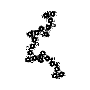 O=C(c1ccc(C(=O)c2ccc(N3c4ccccc4Oc4cc(-c5cccc6c5Oc5ccccc5N6c5ccc(C(=O)c6cccc(C(=O)c7ccc(N8c9ccccc9Oc9ccccc98)cc7)c6)cc5)ccc43)cc2)cc1)c1ccc(N2c3ccccc3Oc3cc(-c4cccc5c4Oc4ccccc4N5c4ccc(C(=O)c5ccc(N6c7ccccc7Oc7ccccc76)cc5)cc4)ccc32)cc1